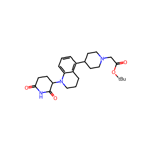 CC(C)(C)OC(=O)CN1CCC(c2cccc3c2CCCN3C2CCC(=O)NC2=O)CC1